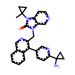 CC1(n2c(=O)n(Cc3ncc4ccccc4c3-c3ccc(C4(N)CC4)nc3)c3cnccc32)CC1